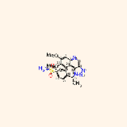 COc1cc2ncc3nnn([C@@H](C)c4ccc(S(N)(=O)=O)cc4)c3c2cc1OC